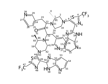 C[C@@H]1CN(c2sc(C(F)(F)F)nc2-c2nc3cccnc3[nH]2)CCN1C(Cc1cccnc1)C(=O)C(Cc1cccnc1)N1CCN(c2sc(C(F)(F)F)nc2-c2nc3cccnc3[nH]2)C[C@H]1C